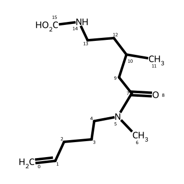 C=CCCCN(C)C(=O)CC(C)CCNC(=O)O